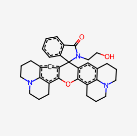 O=C1c2ccccc2C2(c3cc4c5c(c3Oc3c2cc2c6c3CCCN6CCC2)CCCN5CCC4)N1CCO